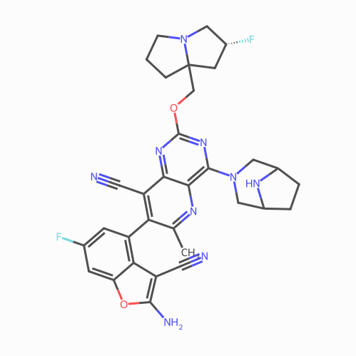 Cc1nc2c(N3CC4CCC(C3)N4)nc(OCC34CCCN3C[C@H](F)C4)nc2c(C#N)c1-c1cc(F)cc2oc(N)c(C#N)c12